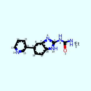 CCNC(=O)Nc1nc2cc(-c3cccnc3)ccc2[nH]1